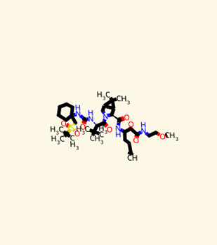 C#CCCC(NC(=O)[C@@H]1C2C(CN1C(=O)[C@@H](NC(=O)NC1(CS(=O)(=O)C(C)(C)C)CCCCC1)C(C)(C)C)C2(C)C)C(=O)C(=O)NCCOC